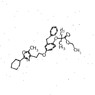 CCOC(=O)C(C)(C)Oc1ccc(OCCc2nc(C3CCCCC3)oc2C)cc1Cc1ccccc1